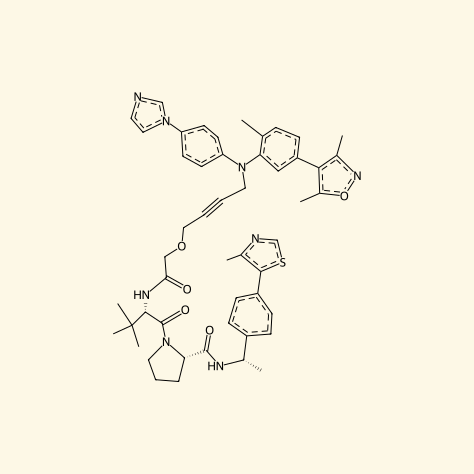 Cc1ccc(-c2c(C)noc2C)cc1N(CC#CCOCC(=O)N[C@H](C(=O)N1CCC[C@H]1C(=O)N[C@@H](C)c1ccc(-c2scnc2C)cc1)C(C)(C)C)c1ccc(-n2ccnc2)cc1